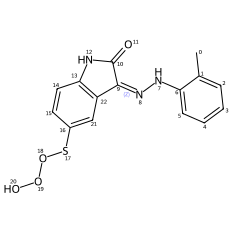 Cc1ccccc1N/N=C1\C(=O)Nc2ccc(SOOO)cc21